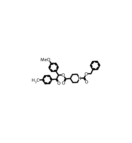 COc1ccc(C(OC(=O)C2CCN(C(=O)OCc3ccccc3)CC2)C(=O)c2ccc(C)cc2)cc1